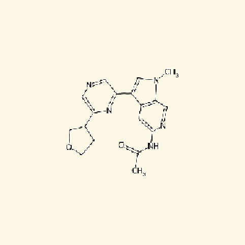 CC(=O)Nc1cc2c(-c3cncc(C4CCOC4)n3)cn(C)c2cn1